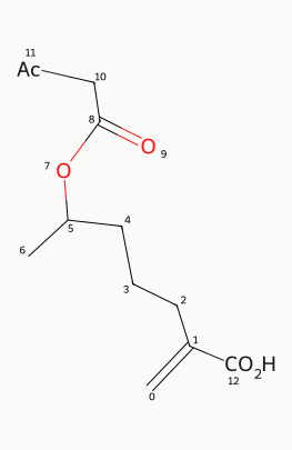 C=C(CCCC(C)OC(=O)CC(C)=O)C(=O)O